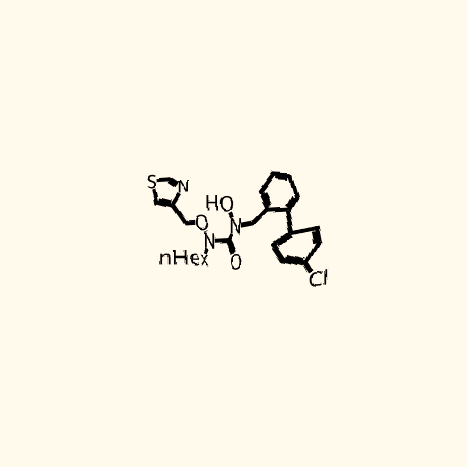 CCCCCCN(OCc1cscn1)C(=O)N(O)Cc1ccccc1-c1ccc(Cl)cc1